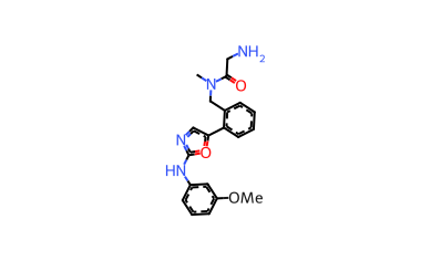 COc1cccc(Nc2ncc(-c3ccccc3CN(C)C(=O)CN)o2)c1